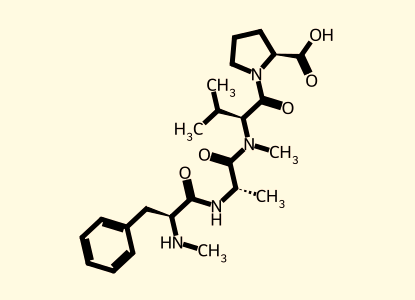 CN[C@@H](Cc1ccccc1)C(=O)N[C@@H](C)C(=O)N(C)[C@H](C(=O)N1CCC[C@H]1C(=O)O)C(C)C